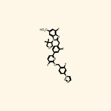 CC1(C)COCC1n1c(Cc2ccc(-c3ccc(F)c(OCc4ccc(-n5ccnn5)cc4F)n3)cc2F)nc2c(F)cc(C(=O)O)cc21